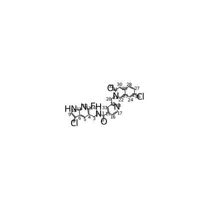 O=C(NCc1cc2c(Cl)c[nH]c2nc1F)c1ccnc(Cn2cc3cc(Cl)ccc3cc2=O)c1